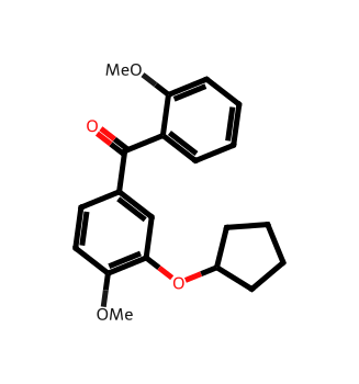 COc1ccc(C(=O)c2ccccc2OC)cc1OC1CCCC1